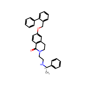 C[C@H](NCCN1CCc2cc(OCc3ccccc3-c3ccccc3)ccc2C1=O)c1ccccc1